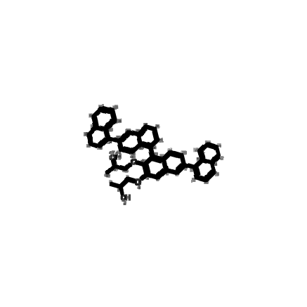 CC(O)COc1cc2cc(-c3cccc4ccccc34)ccc2c(-c2cccc3cc(-c4cccc5ccccc45)ccc23)c1OCC(C)O